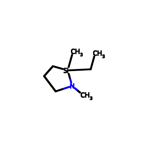 CC[Si]1(C)CCCN1C